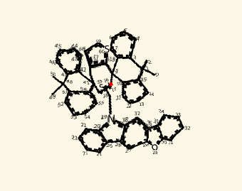 CC1(C)c2ccccc2C2(c3ccccc31)c1cc(-n3c4ccccc4c4cc5oc6ccccc6c5cc43)sc1C1(c3ccccc3C(C)(C)c3ccccc31)c1ccsc12